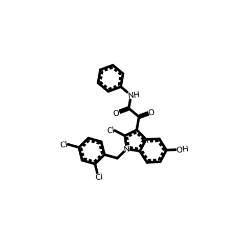 O=C(Nc1ccccc1)C(=O)c1c(Cl)n(Cc2ccc(Cl)cc2Cl)c2ccc(O)cc12